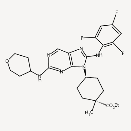 CCOC(=O)[C@]1(C)CC[C@@H](n2c(Nc3c(F)cc(F)cc3F)nc3cnc(NC4CCOCC4)nc32)CC1